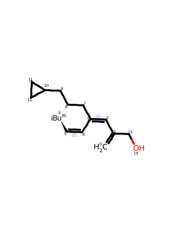 C=C(/C=C(\C=C/[C@H](C)CC)CCCC1CC1)CO